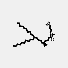 CCCCCCCCCCC(CCCCCCCCCC)CCCCC1(CCCC(=O)N(C)CCCCN(C)C)CC1